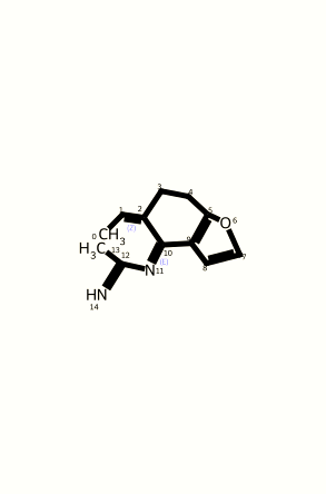 C/C=C1/CCc2occc2/C1=N/C(C)=N